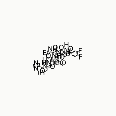 CCC(N)CC(=O)N(C(=O)C(=O)NS(=O)(=O)c1ccc(F)c(F)c1)C(=O)[C@H](CC1CCCCC1)NC(=O)[C@@H](NC(=O)[C@H](CC(C)C)NC(=O)c1cnccn1)[C@@H](C)CC